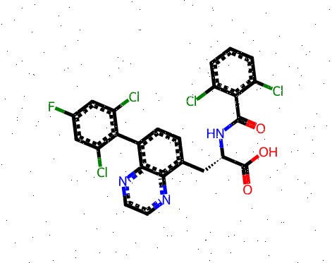 O=C(N[C@@H](Cc1ccc(-c2c(Cl)cc(F)cc2Cl)c2nccnc12)C(=O)O)c1c(Cl)cccc1Cl